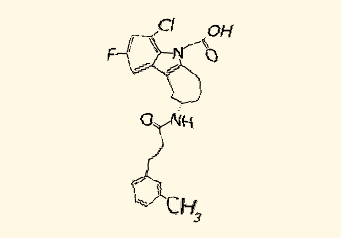 Cc1cccc(CCC(=O)N[C@H]2CCc3c(c4cc(F)cc(Cl)c4n3CC(=O)O)C2)c1